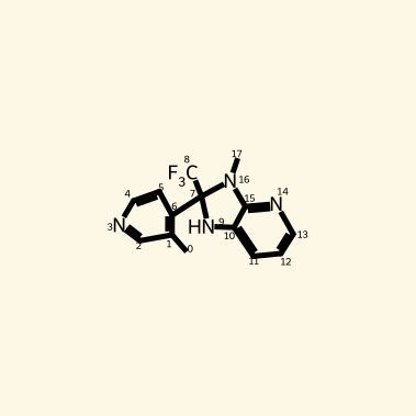 Cc1cnccc1C1(C(F)(F)F)Nc2cccnc2N1C